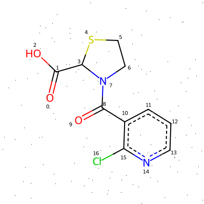 O=C(O)C1SCCN1C(=O)c1cccnc1Cl